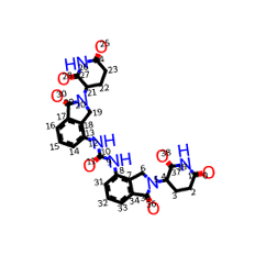 O=C1CCC(N2Cc3c(NC(=O)Nc4cccc5c4CN(C4CCC(=O)NC4=O)C5=O)cccc3C2=O)C(=O)N1